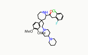 COc1ccc(C2(CCN3CCC(N4CCCCC4)CC3)CCCNC(C(=O)Cc3c(F)cccc3Cl)C2)cc1OC